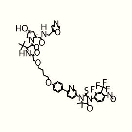 CC(C)(C)[C@H](NC(=O)COCCCCOc1ccc(-c2ccc(N3C(=S)N(c4ccc(N=O)c(C(F)(F)F)c4F)C(=O)C3(C)C)cn2)cc1)C(=O)N1C[C@H](O)C[C@H]1C(=O)NCc1cnco1